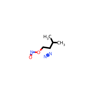 CC(C)CCON=O.N#N